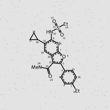 CCc1ccc(-c2oc3nc(NS(=O)(=O)CC)c(C4CC4)cc3c2C(=O)NC)cc1